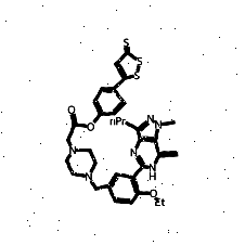 C=C1NC(c2cc(CN3CCN(CC(=O)Oc4ccc(-c5cc(=S)ss5)cc4)CC3)ccc2OCC)=Nc2c(CCC)nn(C)c21